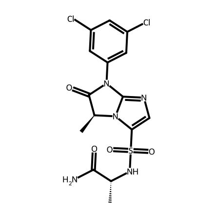 C[C@@H](NS(=O)(=O)c1cnc2n1[C@@H](C)C(=O)N2c1cc(Cl)cc(Cl)c1)C(N)=O